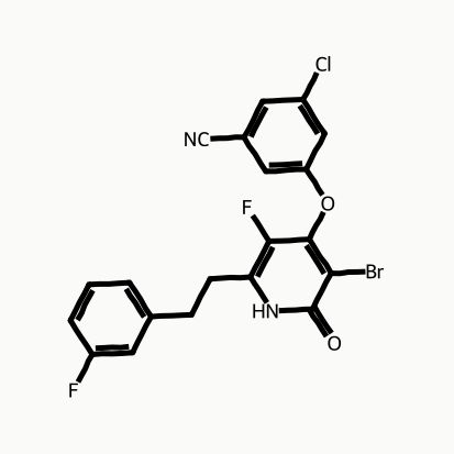 N#Cc1cc(Cl)cc(Oc2c(F)c(CCc3cccc(F)c3)[nH]c(=O)c2Br)c1